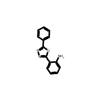 Nc1ccccc1-c1nnc(-c2ccccc2)o1